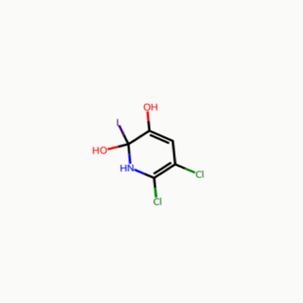 OC1=CC(Cl)=C(Cl)NC1(O)I